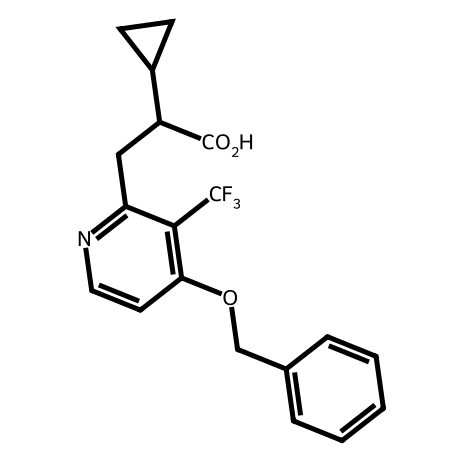 O=C(O)C(Cc1nccc(OCc2ccccc2)c1C(F)(F)F)C1CC1